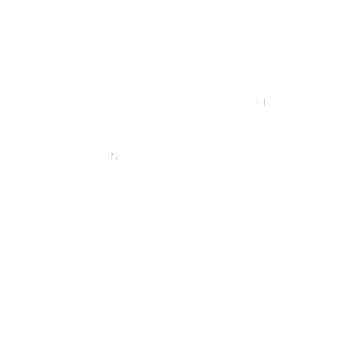 Clc1ccc2c(c1)C=C1Nc3ccccc3C1C2